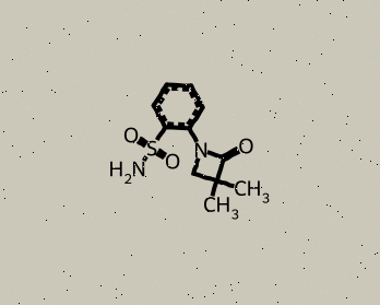 CC1(C)CN(c2ccccc2S(N)(=O)=O)C1=O